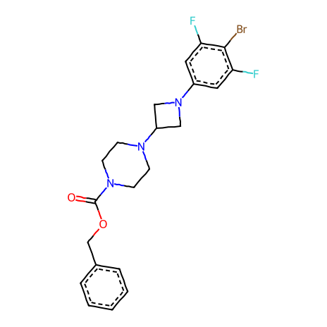 O=C(OCc1ccccc1)N1CCN(C2CN(c3cc(F)c(Br)c(F)c3)C2)CC1